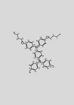 CCCCOc1ccc(N(c2ccc(OCCCC)cc2)c2ccc(N(c3ccc(C)cc3)c3ccc(C)cc3)cc2)cc1